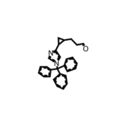 O=CCCC1CC1c1cn(C(c2ccccc2)(c2ccccc2)c2ccccc2)cn1